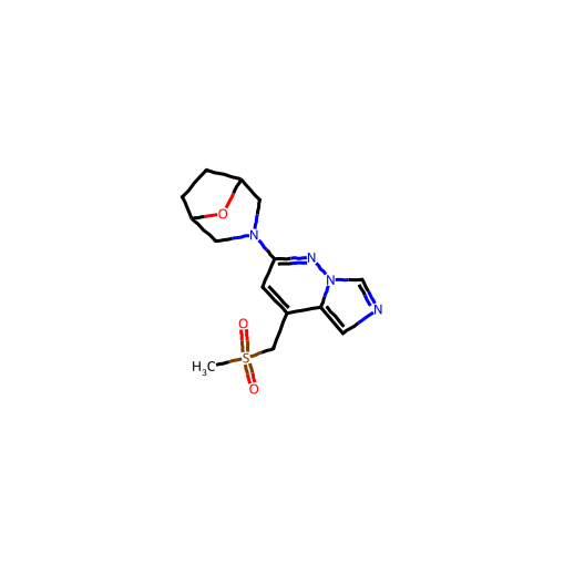 CS(=O)(=O)Cc1cc(N2CC3CCC(C2)O3)nn2cncc12